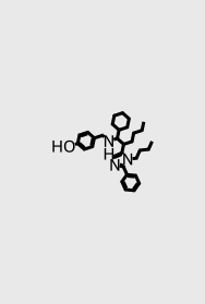 CCCCC(c1cnc(-c2ccccc2)n1CCCC)C(NCc1ccc(O)cc1)C1CCCCC1